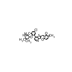 Cc1cc(Cl)cc(-c2ccnc3cc(Cn4c(=O)ccn(C)c4=O)sc23)c1OC1CNCC(C)(C)C1